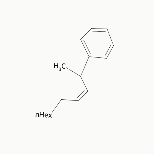 CCCCCCC/C=C\C(C)c1ccccc1